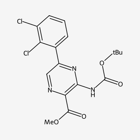 COC(=O)c1ncc(-c2cccc(Cl)c2Cl)nc1NC(=O)OC(C)(C)C